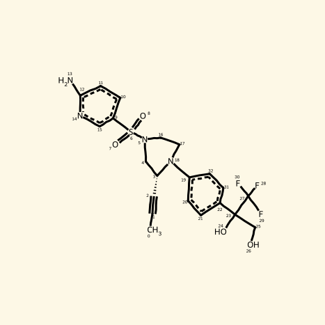 CC#C[C@@H]1CN(S(=O)(=O)c2ccc(N)nc2)CCN1c1ccc(C(O)(CO)C(F)(F)F)cc1